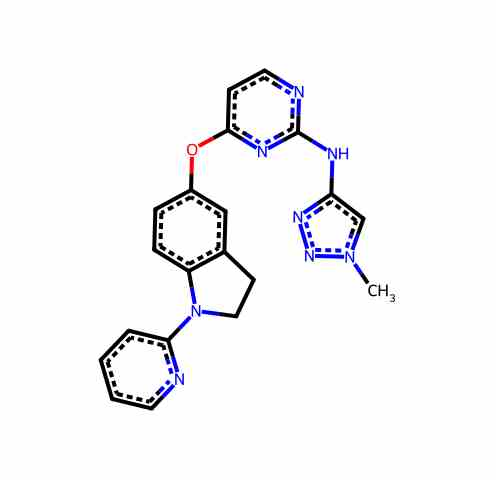 Cn1cc(Nc2nccc(Oc3ccc4c(c3)CCN4c3ccccn3)n2)nn1